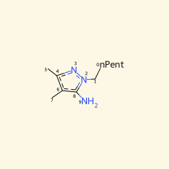 CCCCCCn1nc(C)c(C)c1N